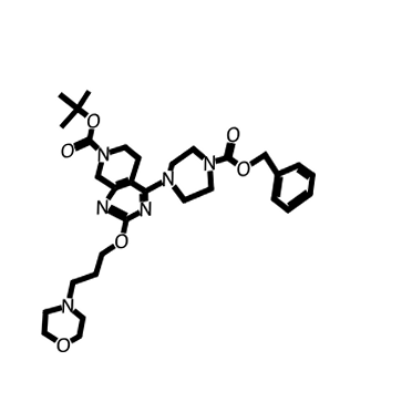 CC(C)(C)OC(=O)N1CCc2c(nc(OCCCN3CCOCC3)nc2N2CCN(C(=O)OCc3ccccc3)CC2)C1